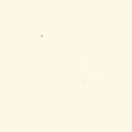 COc1cc(CC/C=C(/C=C\C(=O)O)c2cccc(C(=O)O)c2)ccc1C12CC3CC(CC(C3)C1)C2